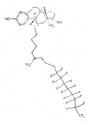 CN(CCCCC[C@H]1C[C@]2(C)[C@@H](O)CC[C@H]2[C@@H]2CCc3cc(O)ccc3[C@@H]12)CCCC(F)(F)C(F)(F)C(F)(F)C(F)(F)C(F)(F)C(F)(F)C(F)(F)C(F)(F)F